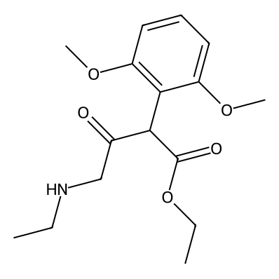 CCNCC(=O)C(C(=O)OCC)c1c(OC)cccc1OC